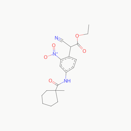 CCOC(=O)C(C#N)c1ccc(NC(=O)C2(C)CCCCC2)cc1[N+](=O)[O-]